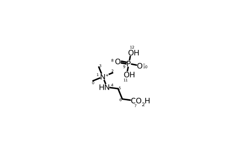 C[N+](C)(C)NCCC(=O)O.O=P([O-])(O)O